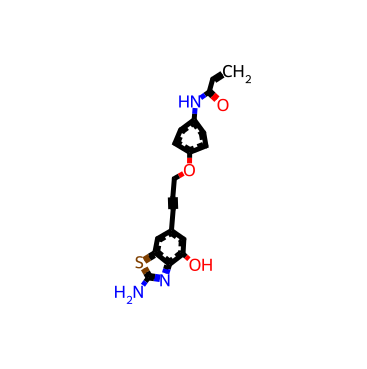 C=CC(=O)Nc1ccc(OCC#Cc2cc(O)c3nc(N)sc3c2)cc1